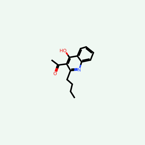 CCCCc1nc2ccccc2c(O)c1C(C)=O